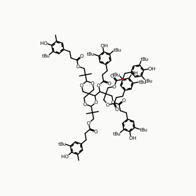 Cc1cc(CCC(=O)OCC(C)(C)C2OCC3(CO2)COC(C(C)(C)COC(=O)CCc2cc(C)c(O)c(C(C)(C)C)c2)OC3C(OC(=O)CCc2cc(C(C)(C)C)c(O)c(C(C)(C)C)c2)C(COC(=O)CCc2cc(C(C)(C)C)c(O)c(C(C)(C)C)c2)(COC(=O)CCc2cc(C(C)(C)C)c(O)c(C(C)(C)C)c2)COC(=O)CCc2cc(C(C)(C)C)c(O)c(C(C)(C)C)c2)cc(C(C)(C)C)c1O